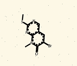 CSc1ncc2cc(Br)c(=O)n(C)c2n1